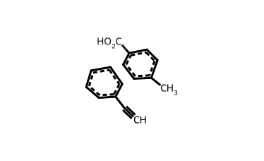 C#Cc1ccccc1.Cc1ccc(C(=O)O)cc1